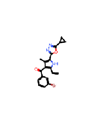 C=Cc1[nH]c(-c2nnc(C3CC3)o2)c(C)c1C(=O)c1cccc(Br)c1